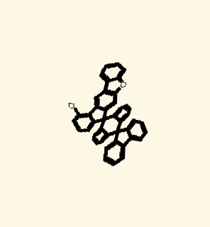 Clc1cccc2c1-c1cc3c(cc1C21c2ccccc2C2(c4ccccc4-c4ccccc42)c2ccccc21)oc1ccccc13